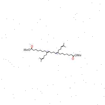 COC(=O)CCCCCC/C(=C/CC/C=C(\CCC=C(C)C)CCCCCCC(=O)OC)CCC=C(C)C